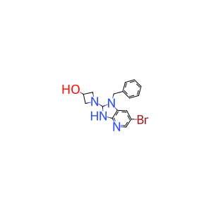 OC1CN(C2Nc3ncc(Br)cc3N2Cc2ccccc2)C1